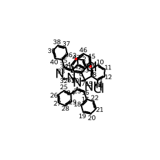 Clc1ccccc1C1(c2ccccc2Cl)NC(c2ccccc2)=C(c2ccccc2)N1n1cnc(-c2ccccc2)c1-c1ccccc1